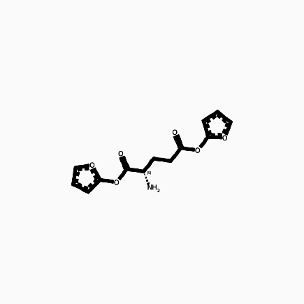 N[C@@H](CCC(=O)Oc1ccco1)C(=O)Oc1ccco1